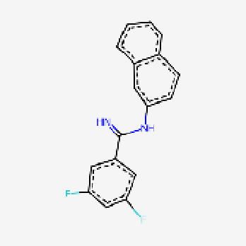 N=C(Nc1ccc2ccccc2c1)c1cc(F)cc(F)c1